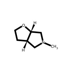 CN1C[C@@H]2CCO[C@@H]2C1